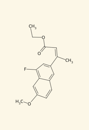 CCOC(=O)/C=C(/C)c1cc(F)c2cc(OC)ccc2c1